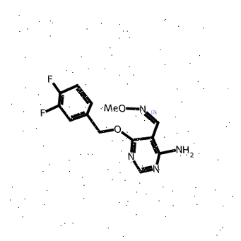 CO/N=C\c1c(N)ncnc1OCc1ccc(F)c(F)c1